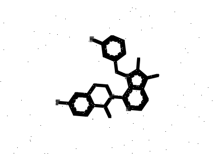 Cc1c(C)n(Cc2cccc(F)c2)c2c(N3CCc4cc(F)ccc4C3C)nccc12